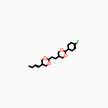 CCC=CC1COC(CCC2COC(C3CC=C(F)CC3)OC2)OC1